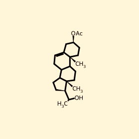 CC(=O)O[C@H]1CC[C@@]2(C)C(=CCC3C2CC[C@@]2(C)C3CC[C@@H]2[C@H](C)O)C1